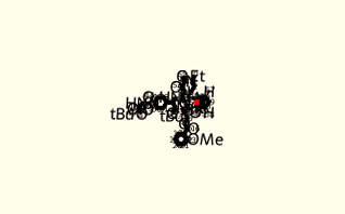 CCN1CCN(C(=O)NC(C(=O)N[C@](COC(=O)c2ccccc2OC)(B2O[C@@H]3C[C@@H]4C[C@@H](C4(C)C)[C@]3(C)O2)C(C)(C)C)C2CCN(S(=O)(=O)NC(=O)OC(C)(C)C)CC2)C(=O)C1=O